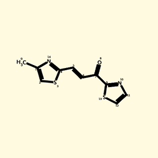 Cc1csc(/C=C/C(=O)c2nccs2)n1